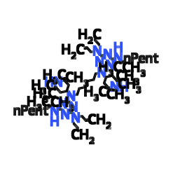 C=CCN(CC=C)c1nc(NC(C)(C)CCCCC)nc(N(CCCCCCN(c2nc(NC(C)(C)CCCCC)nc(N(CC=C)CC=C)n2)C2CC(C)(C)NC(C)(C)C2)C2CC(C)(C)NC(C)(C)C2)n1